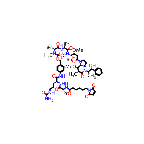 CC[C@H](C)[C@@H]([C@@H](CC(O)N1CCC[C@H]1[C@H](OC)[C@@H](C)C(=O)N[C@H](C)[C@@H](O)c1ccccc1)OC)N(C)C(=O)[C@@H](NC(=O)[C@H](C(C)C)N(C)C(=O)OCc1ccc(NC(=O)[C@H](CCCNC(N)=O)NC(=O)[C@@H](NC(=O)CCCCCN2C(=O)C=CC2=O)C(C)C)cc1)C(C)C